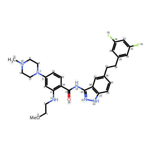 COCCNc1cc(N2CCN(C)CC2)ccc1C(=O)Nc1n[nH]c2ccc(CCc3cc(F)cc(F)c3)cc12